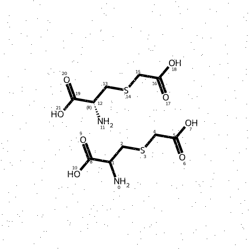 NC(CSCC(=O)O)C(=O)O.N[C@@H](CSCC(=O)O)C(=O)O